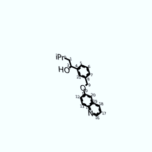 CC(C)CC(O)c1cccc(COc2ccc3ncccc3c2)c1